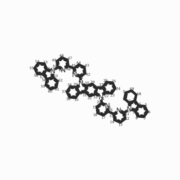 C1=Cc2c(c3ccccc3n2-c2cccc(-c3cccc(-n4c5ccccc5c5cc6c(cc54)c4ccccc4n6-c4cccc(-c5cccc(-n6c7ccccc7c7ccccc76)n5)n4)n3)n2)CC1